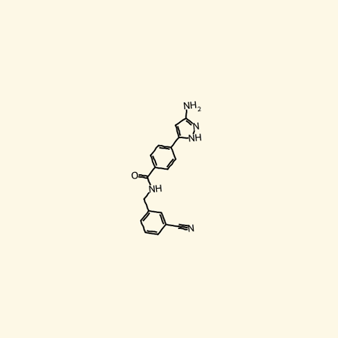 N#Cc1cccc(CNC(=O)c2ccc(-c3cc(N)n[nH]3)cc2)c1